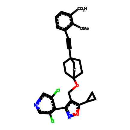 COc1c(C#CC23CCC(OCc4c(-c5c(Cl)cncc5Cl)noc4C4CC4)(CC2)CC3)cccc1C(=O)O